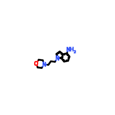 Nc1cccc2c1ccn2CCCN1CCOCC1